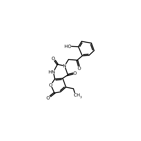 CCc1cc(=O)oc2[nH]c(=O)n(CC(=O)c3ccccc3O)c(=O)c12